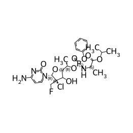 CC(C)OC(=O)[C@H](C)N[P@@](=O)(Oc1ccccc1)O[C@H](C)[C@H]1O[C@@H](n2ccc(N)nc2=O)[C@@](Cl)(CF)C1O